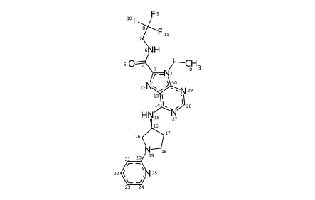 CCn1c(C(=O)NCC(F)(F)F)nc2c(N[C@H]3CCN(c4ccccn4)C3)ncnc21